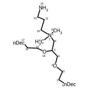 CCCCCCCCCCCCOCC(C[N+](C)(C)CCCN)OCCCCCCCCCCCC